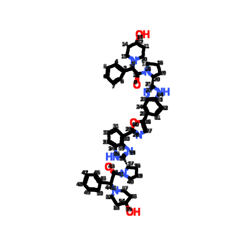 O=C(C(c1ccccc1)N1CCC(O)CC1)N1CCC[C@H]1c1nc2cc(-c3cnc(-c4cccc5[nH]c([C@@H]6CCCN6C(=O)C(c6ccccc6)N6CCC(O)CC6)nc45)o3)ccc2[nH]1